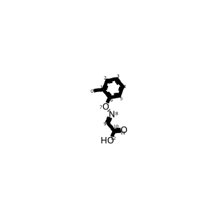 Cc1ccccc1ON=CC(=O)O